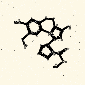 COc1cc2c(cc1CC(C)C)-n1c(-c3cccn3C(=O)OC(C)(C)C)nc(C(C)=O)c1CC2